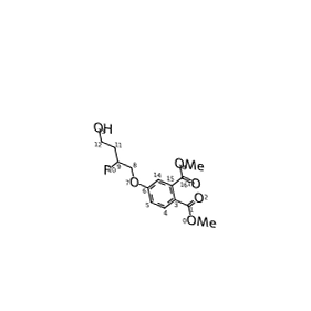 COC(=O)c1ccc(OCC(F)CCO)cc1C(=O)OC